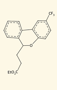 CCOC(=O)CCC1Oc2ccc(C(F)(F)F)cc2-c2ccccc21